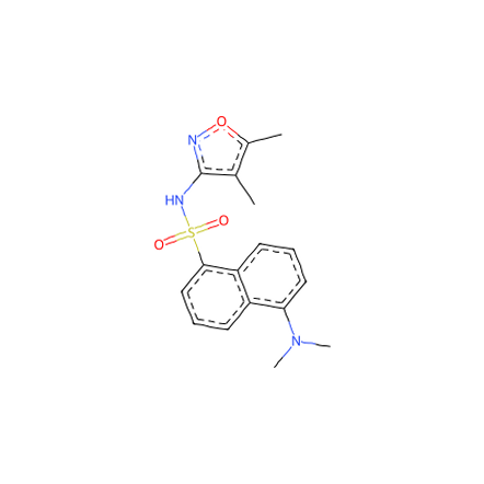 Cc1onc(NS(=O)(=O)c2cccc3c(N(C)C)cccc23)c1C